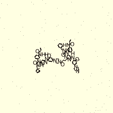 C=CC(=O)Nc1cccc(N(C(=O)NCc2cccs2)c2cc(Nc3ccc(N4CCN(C(=O)CCc5nc(Nc6ccc(N7CCN(C)CC7)cc6OC)cc(N(C(=O)NCc6ccccc6)c6cccc(NC(=O)C=C)c6)n5)CC4)cc3OC)ncn2)c1